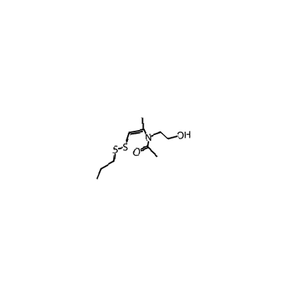 CCCSSC=C(C)N(CCO)C(C)=O